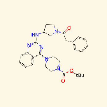 CC(C)(C)OC(=O)N1CCN(c2nc(NC3CCN(C(=O)Cc4ccccc4)C3)nc3ccccc23)CC1